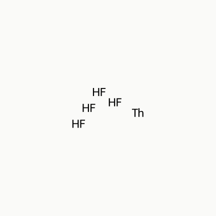 F.F.F.F.[Th]